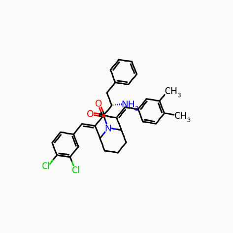 Cc1ccc(/C=C2/C(=O)/C(=C/c3ccc(Cl)c(Cl)c3)C3CCCC2N3C(=O)[C@@H](N)Cc2ccccc2)cc1C